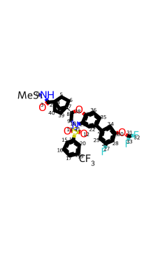 CSNC(=O)C12CCC([C@H]3CN(S(=O)(=O)c4cccc(C(F)(F)F)c4)c4cc(-c5cc(F)cc(OC(F)F)c5)ccc4O3)(CC1)C2